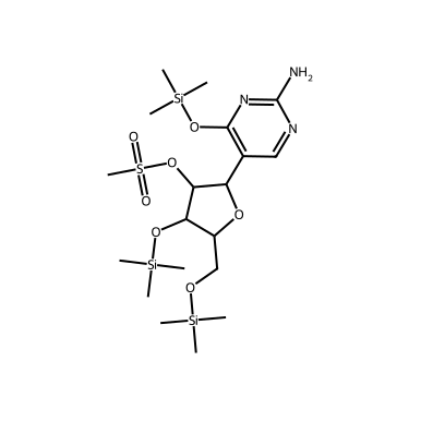 C[Si](C)(C)OCC1OC(c2cnc(N)nc2O[Si](C)(C)C)C(OS(C)(=O)=O)C1O[Si](C)(C)C